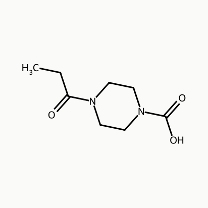 CCC(=O)N1CCN(C(=O)O)CC1